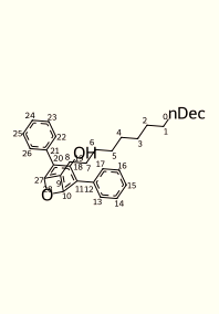 CCCCCCCCCCCCCCCCCCc1c2c(-c3ccccc3)c(O)c(-c3ccccc3)c1O2